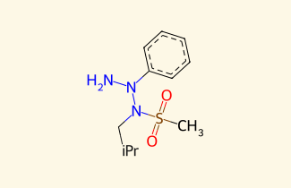 CC(C)CN(N(N)c1ccccc1)S(C)(=O)=O